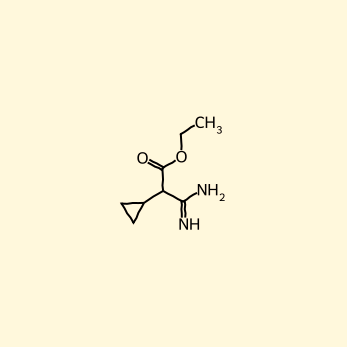 CCOC(=O)C(C(=N)N)C1CC1